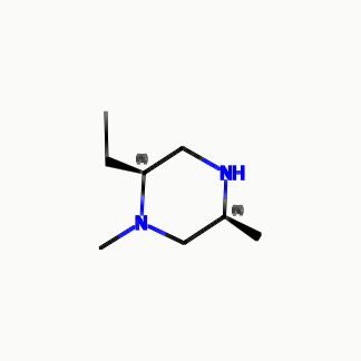 CC[C@H]1CN[C@@H](C)CN1C